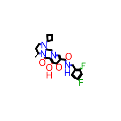 C[C@H]1CCN(C2CCC2)C2Cn3cc(C(=O)NCc4ccc(F)cc4F)c(=O)c(O)c3C(=O)N21